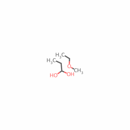 CCC(O)O.CCOC